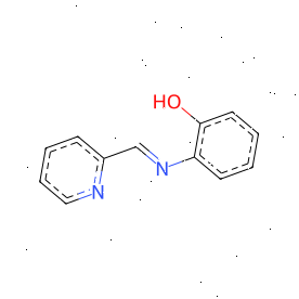 Oc1ccccc1N=Cc1ccccn1